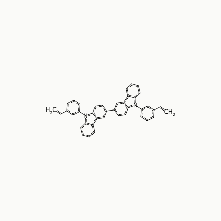 C=Cc1cccc(-n2c3ccccc3c3cc(-c4ccc5c(c4)c4ccccc4n5-c4cccc(C=C)c4)ccc32)c1